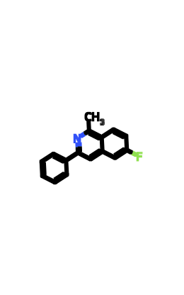 Cc1nc(-c2ccccc2)cc2cc(F)ccc12